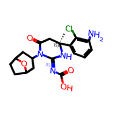 C[C@@]1(c2cccc(N)c2Cl)CC(=O)N(C2CC3CCC(C2)O3)/C(=N/C(=O)O)N1